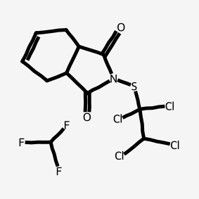 FC(F)F.O=C1C2CC=CCC2C(=O)N1SC(Cl)(Cl)C(Cl)Cl